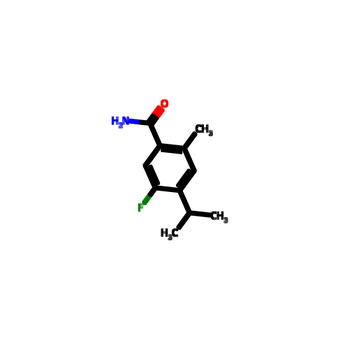 Cc1cc(C(C)C)c(F)cc1C(N)=O